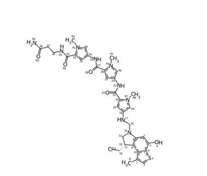 Cc1csc2c(O)cc3c(c12)[C@H](CCl)CN3CNc1cc(C(=O)Nc2cc(C(=O)Nc3cc(C(=O)NCCC(N)=O)n(C)c3)n(C)c2)n(C)c1